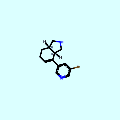 Brc1cncc(C2=CCC[C@@H]3CNC[C@H]23)c1